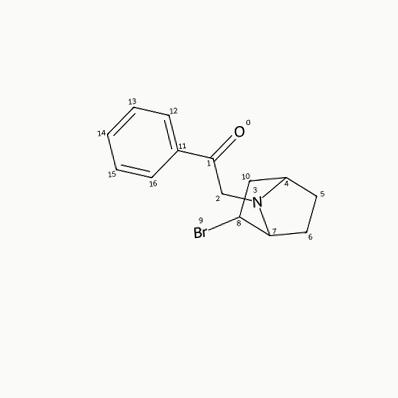 O=C(CN1C2CCC1C(Br)C2)c1ccccc1